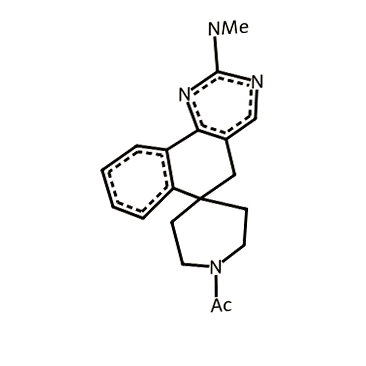 CNc1ncc2c(n1)-c1ccccc1C1(CCN(C(C)=O)CC1)C2